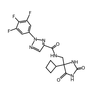 O=C1NC(=O)C(CNC(=O)c2cnn(-c3cc(F)c(F)c(F)c3)n2)(C2CCC2)N1